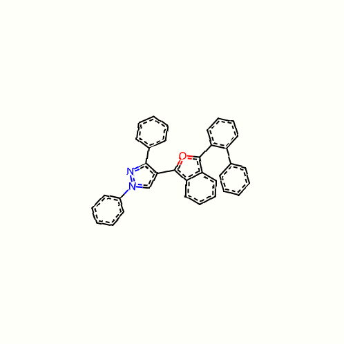 c1ccc(-c2ccccc2-c2oc(-c3cn(-c4ccccc4)nc3-c3ccccc3)c3ccccc23)cc1